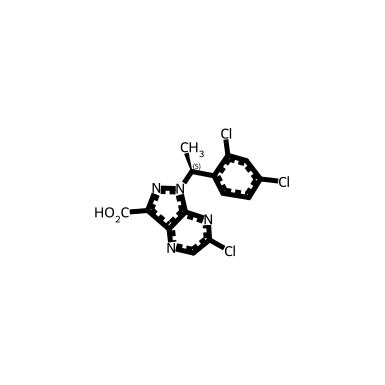 C[C@@H](c1ccc(Cl)cc1Cl)n1nc(C(=O)O)c2ncc(Cl)nc21